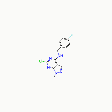 Cn1ncc2c(NCc3ccc(F)cc3)nc(Cl)nc21